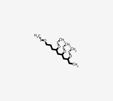 CCC(CC(CC(CCCOSC)OSC)OSC)OSC